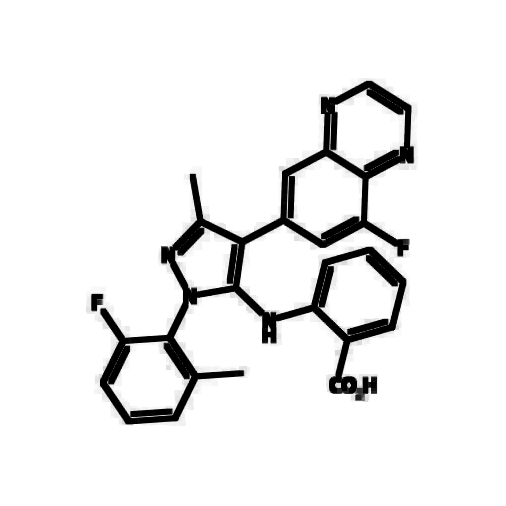 Cc1cccc(F)c1-n1nc(C)c(-c2cc(F)c3nccnc3c2)c1Nc1ccccc1C(=O)O